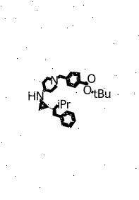 CC(C)/C(=C\c1ccccc1)[C@@H]1C[C@H]1NC1CCN(Cc2ccc(C(=O)OC(C)(C)C)cc2)CC1